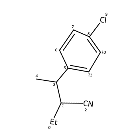 CCC(C#N)C(C)c1ccc(Cl)cc1